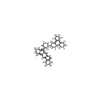 c1cc(-c2ccc3c4ccccc4c4ccccc4c3c2)cc(-n2c3ccccc3c3cc4c(cc32)sc2ccccc24)c1